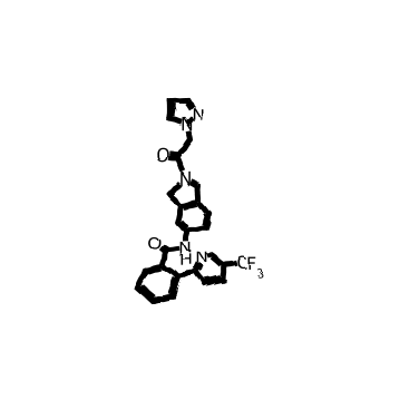 O=C(Nc1ccc2c(c1)CN(C(=O)Cn1cccn1)C2)c1ccccc1-c1ccc(C(F)(F)F)cn1